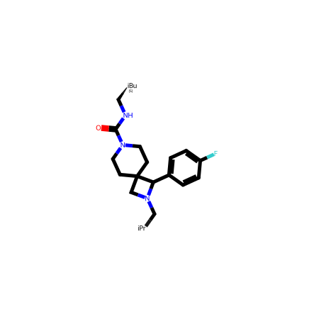 CC[C@H](C)CNC(=O)N1CCC2(CC1)CN(CC(C)C)C2c1ccc(F)cc1